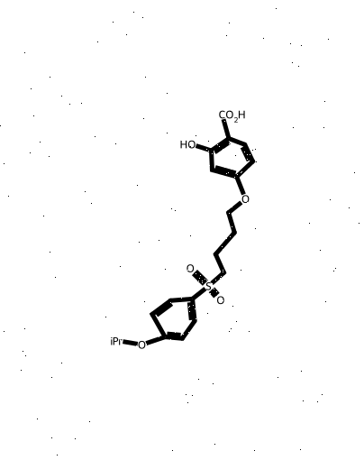 CC(C)Oc1ccc(S(=O)(=O)CCCCOc2ccc(C(=O)O)c(O)c2)cc1